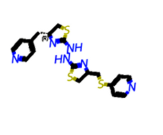 c1cc(C[C@@H]2CSC(NNC3=NC(CSc4ccncc4)CS3)=N2)ccn1